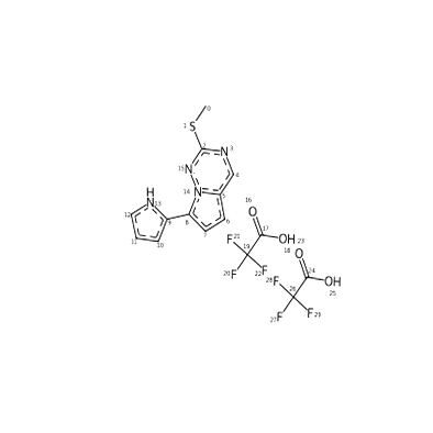 CSc1ncc2ccc(-c3ccc[nH]3)n2n1.O=C(O)C(F)(F)F.O=C(O)C(F)(F)F